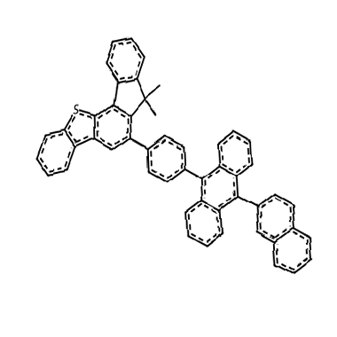 CC1(C)c2ccccc2-c2c1c(-c1ccc(-c3c4ccccc4c(-c4ccc5ccccc5c4)c4ccccc34)cc1)cc1c2sc2ccccc21